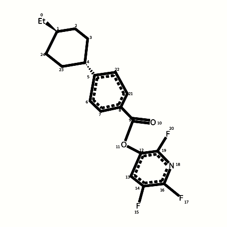 CC[C@H]1CC[C@H](c2ccc(C(=O)Oc3cc(F)c(F)nc3F)cc2)CC1